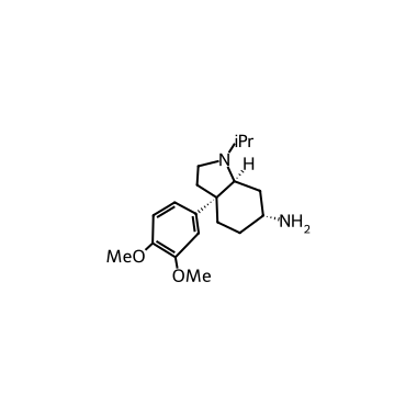 COc1ccc([C@@]23CC[C@@H](N)C[C@@H]2N(C(C)C)CC3)cc1OC